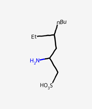 CCCCC(CC)CC(N)CS(=O)(=O)O